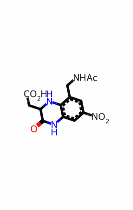 CC(=O)NCc1cc([N+](=O)[O-])cc2c1NC(CC(=O)O)C(=O)N2